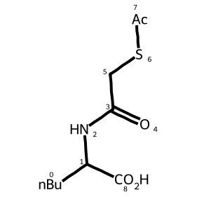 CCCCC(NC(=O)CSC(C)=O)C(=O)O